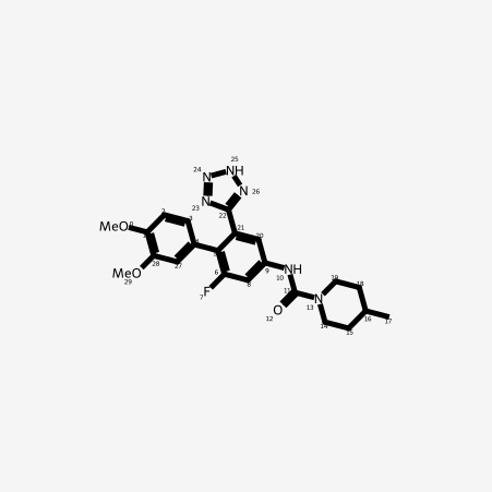 COc1ccc(-c2c(F)cc(NC(=O)N3CCC(C)CC3)cc2-c2nn[nH]n2)cc1OC